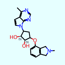 Cc1ncnc2c1ccn2C1CC(Oc2cccc3c2CN(C)C3)[C@@H](O)[C@H]1O